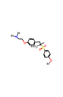 CCOC(=O)C(C)(Cc1ccc(OCCN(CC)CC)cc1)S(=O)(=O)c1ccc(OCC)cc1